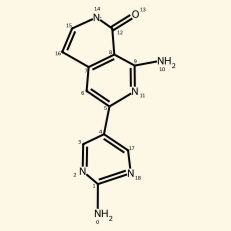 Nc1ncc(-c2cc3c(c(N)n2)C(=O)[N]C=C3)cn1